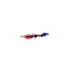 COCc1cnc(N2CCC(CCOCc3ccc(CC(=O)N4CCN(C[C@H](O)[C@@H](O)[C@H](O)[C@H](O)CO)CC4)c(F)c3)CC2)nc1